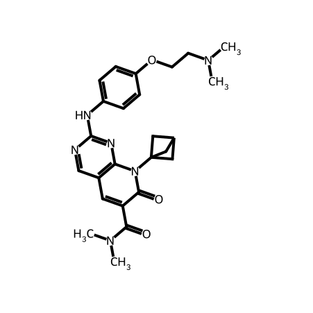 CN(C)CCOc1ccc(Nc2ncc3cc(C(=O)N(C)C)c(=O)n(C45CC(C4)C5)c3n2)cc1